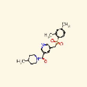 Cc1ccc(S(=O)(=O)Cc2cncc(C(=O)N3CCC(C)CC3)c2)c(C)c1